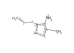 C=CCn1ncc(C)c1N